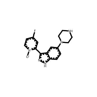 [O-][n+]1ccc(F)cc1-c1n[nH]c2ccc(N3CCNCC3)cc12